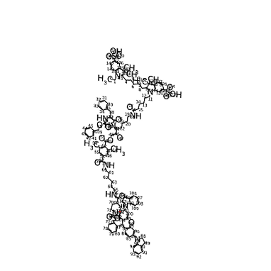 CC[N+]1=C(CCCCCC2N(CCCCCC(=O)NCCCC[C@H](NC(=O)[C@H](Cc3ccccc3)NC(=O)OCc3ccccc3)C(=O)COC(=O)c3c(C)cc(C(=O)NCCCCCCNC(=O)C4CCN(S(=O)(=O)c5ccccc5C5c6ccc(N7CCc8ccccc87)cc6OC6=CC(=[N+]7CCc8ccccc87)C=CC65)CC4)cc3C)c3cc(S(=O)(=O)O)ccc3C2(C)C)C(C)(C)c2cc(S(=O)(=O)O)ccc21